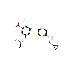 COC(=O)c1cc(Oc2cnc(NCC3CC3)cn2)cc(OC(CF)CF)c1